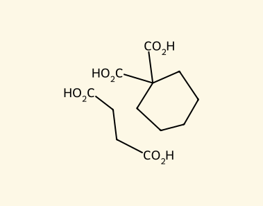 O=C(O)C1(C(=O)O)CCCCC1.O=C(O)CCC(=O)O